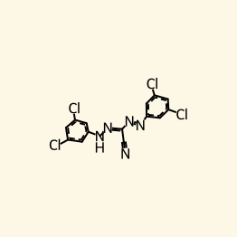 N#CC(/N=N/c1cc(Cl)cc(Cl)c1)=N\Nc1cc(Cl)cc(Cl)c1